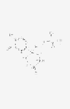 CS(=O)(=O)OCCC1(c2ccc(Cl)c(Cl)c2)CCC(=O)NC1